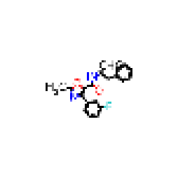 Cc1nc(-c2cccc(F)c2)c(C(=O)N[C@H](C=O)Cc2ccccc2)o1